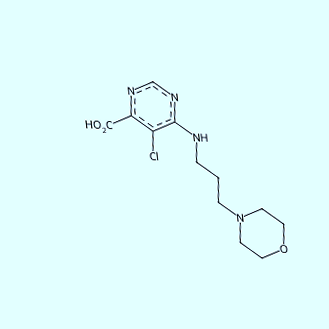 O=C(O)c1ncnc(NCCCN2CCOCC2)c1Cl